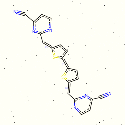 N#Cc1ccnc(/C=c2\cc/c(=c3\cc/c(=C\c4nccc(C#N)n4)s3)s2)n1